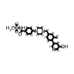 CS(=O)(=O)NC(=O)c1ccc(N2CCN(Cc3ccc(-c4cncc(O)c4)c(F)c3)CC2)cc1